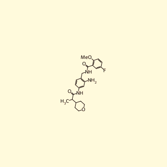 COc1ccc(F)cc1C(=O)NCc1ccc(NC(=O)C(C)C2CCOCC2)cc1N